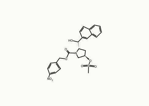 CS(=O)(=O)O[C@@H]1C[C@@H](C(O)c2ccc3ccccc3c2)N(C(=O)OCc2ccc([N+](=O)[O-])cc2)C1